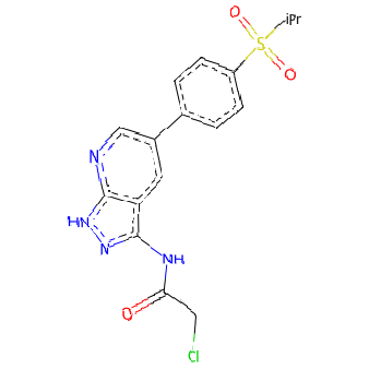 CC(C)S(=O)(=O)c1ccc(-c2cnc3[nH]nc(NC(=O)CCl)c3c2)cc1